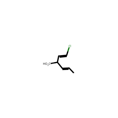 [CH2]C=CC(C=CCl)C(=O)O